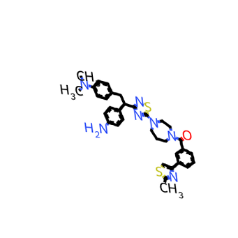 Cc1nc(-c2cccc(C(=O)N3CCCN(c4nc(C(Cc5ccc(N(C)C)cc5)c5ccc(N)cc5)ns4)CC3)c2)cs1